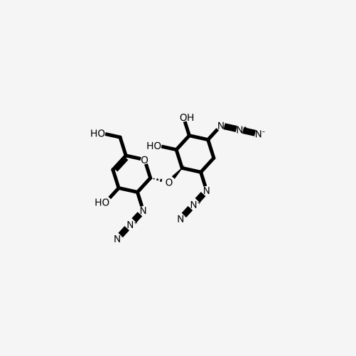 [N-]=[N+]=NC1CC(N=[N+]=[N-])[C@@H](O[C@H]2OC(CO)=CC(O)C2N=[N+]=[N-])C(O)C1O